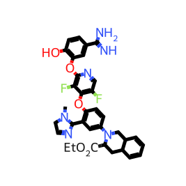 CCOC(=O)C1CC2C=CC=CC2CN1c1ccc(Oc2c(F)cnc(Oc3cc(C(=N)N)ccc3O)c2F)c(C2N=CCN2C)c1